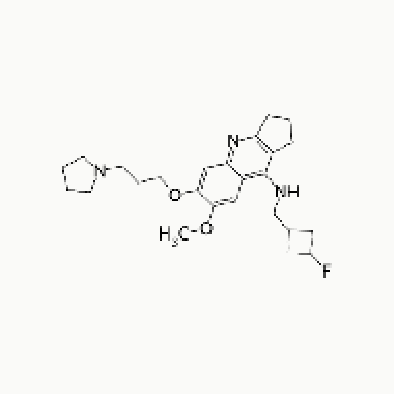 COc1cc2c(NCC3CC(F)C3)c3c(nc2cc1OCCCN1CCCC1)CCC3